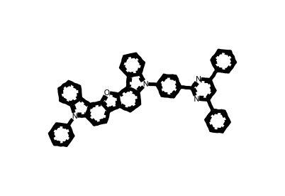 c1ccc(-c2cc(-c3ccccc3)nc(-c3ccc(-n4c5ccccc5c5c6oc7c(ccc8c7c7ccccc7n8-c7ccccc7)c6ccc54)cc3)n2)cc1